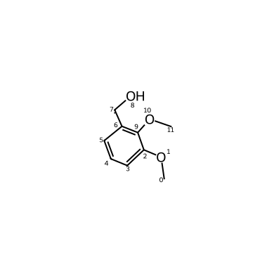 COc1cccc([CH]O)c1OC